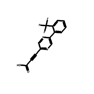 O=C(O)C#Cc1cnc(-c2ccccc2C(F)(F)F)cn1